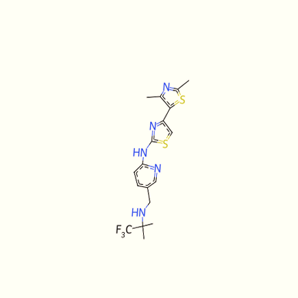 Cc1nc(C)c(-c2csc(Nc3ccc(CNC(C)(C)C(F)(F)F)cn3)n2)s1